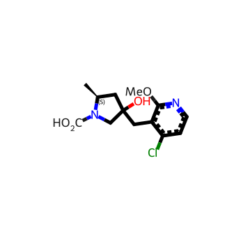 COc1nccc(Cl)c1CC1(O)C[C@H](C)N(C(=O)O)C1